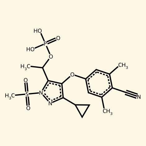 Cc1cc(Oc2c(C3CC3)nn(S(C)(=O)=O)c2C(C)OP(=O)(O)O)cc(C)c1C#N